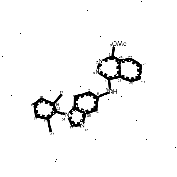 COc1nnc(Nc2ccc3c(c2)ncn3-c2c(C)cccc2C)c2ccccc12